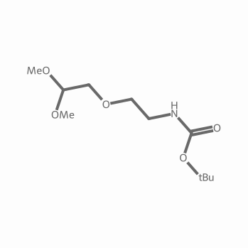 COC(COCCNC(=O)OC(C)(C)C)OC